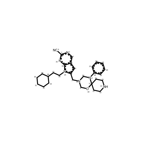 N#Cc1ncc2cc(CN3COC4(CCNCC4)N(c4ccccc4)C3)n(CCC3CCCCC3)c2n1